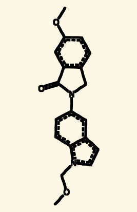 COCn1ccc2cc(N3Cc4ccc(OC)cc4C3=O)ccc21